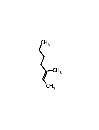 C[CH]CC/C(C)=C/C